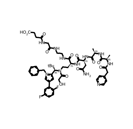 C[C@@H](NC(=O)Cc1ccncc1)C(=O)N[C@H](C)C(=O)N[C@@H](CC(N)=O)C(=O)N[C@@H](CCN(C(=O)CO)[C@@H](c1cc(-c2cc(F)ccc2F)cn1Cc1ccccc1)C(C)(C)C)C(=O)NCCNC(=O)CNC(=O)CCC(=O)O